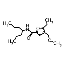 CCCC(CCC)NC(=O)c1cc(COC)c(CC)o1